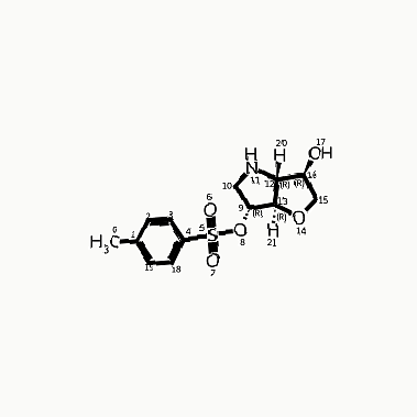 Cc1ccc(S(=O)(=O)O[C@@H]2CN[C@H]3[C@H]2OC[C@@H]3O)cc1